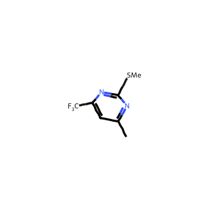 CSc1nc(C)cc(C(F)(F)F)n1